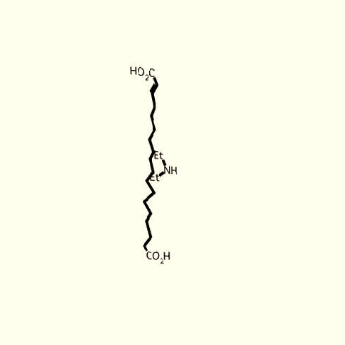 CCNCC.O=C(O)C=CCCCCCCCCCCCCCCC(=O)O